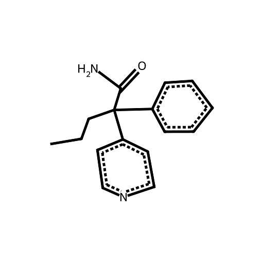 CCCC(C(N)=O)(c1ccccc1)c1ccncc1